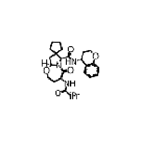 CC(C)C(=O)N[C@H]1CCO[C@H]2CC3(CCCC3)[C@@H](C(=O)N[C@@H]3CCOc4ccccc43)N2C1=O